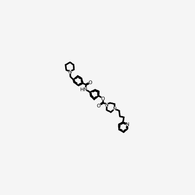 O=C(Nc1ccc(OC(=O)N2CCN(CCCc3ccccn3)CC2)cc1)c1ccc(CN2CCCCC2)cc1